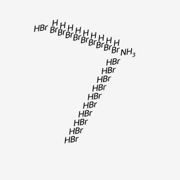 Br.Br.Br.Br.Br.Br.Br.Br.Br.Br.Br.Br.Br.Br.Br.Br.Br.Br.Br.Br.N